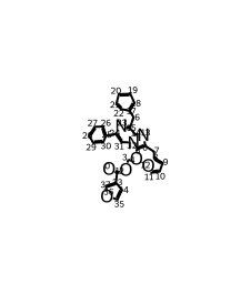 O=C(OCOc1c(Cc2ccco2)nc2c(Cc3ccccc3)nc(-c3ccccc3)cn12)c1ccoc1